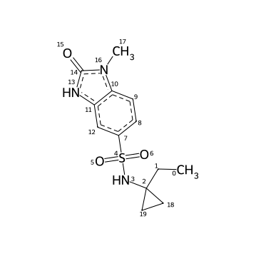 CCC1(NS(=O)(=O)c2ccc3c(c2)[nH]c(=O)n3C)CC1